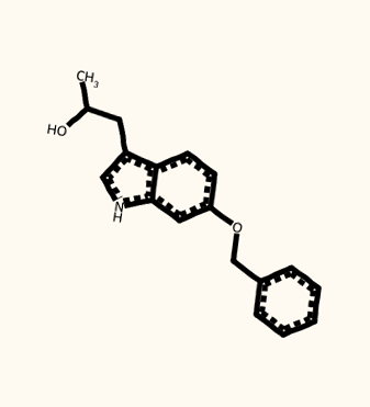 CC(O)Cc1c[nH]c2cc(OCc3ccccc3)ccc12